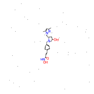 Cc1cc(C)n(C[C@H]2C[C@@H](O)CN2Cc2ccc(C=CC(=O)NO)cc2)n1